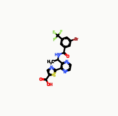 CC(NC(=O)c1cc(Br)cc(C(F)(F)F)c1)c1nccnc1-c1ncc(C(=O)O)s1